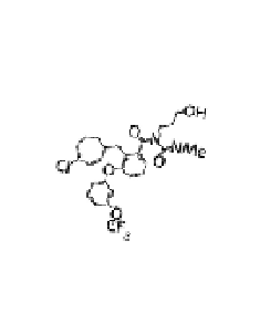 CNC(=O)N(CCCO)C(=O)c1cccc(Oc2cccc(OC(F)(F)F)c2)c1CC1C=CC(Cl)=CCC1